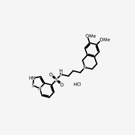 COc1cc2c(cc1OC)CN(CCCNS(=O)(=O)C1=CC=CN3SNC=C13)CC2.Cl